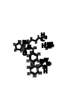 CCCCC1=NC2(CCCC2)C(=O)N1Cc1ccc(-c2ccccc2-c2nnn[nH]2)cc1.Cl.O